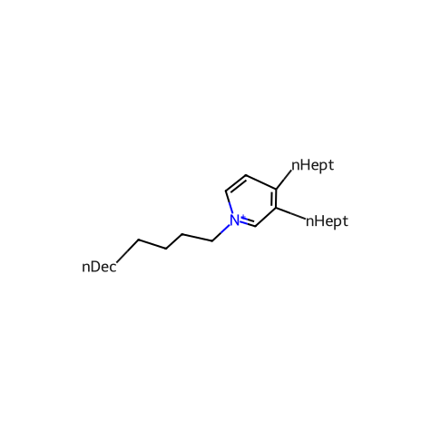 CCCCCCCCCCCCCC[n+]1ccc(CCCCCCC)c(CCCCCCC)c1